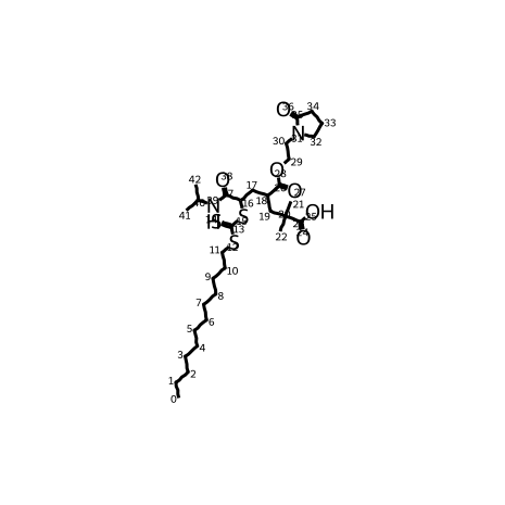 CCCCCCCCCCCCSC(=S)SC(CC(CC(C)(C)C(=O)O)C(=O)OCCN1CCCC1=O)C(=O)NC(C)C